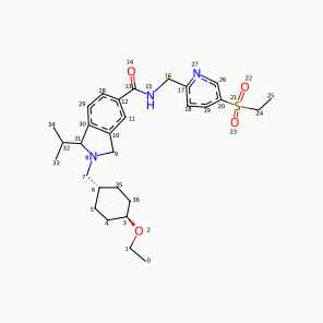 CCO[C@H]1CC[C@H](CN2Cc3cc(C(=O)NCc4ccc(S(=O)(=O)CC)cn4)ccc3C2C(C)C)CC1